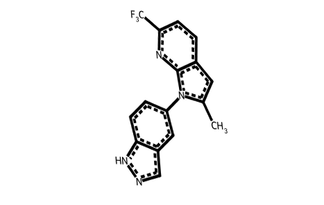 Cc1cc2ccc(C(F)(F)F)nc2n1-c1ccc2[nH]ncc2c1